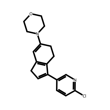 Clc1ccc(C2=CCC3=C2CCC(N2CCOCC2)=C3)cn1